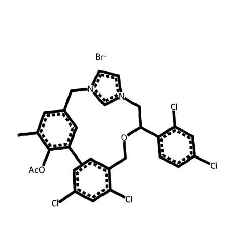 CC(=O)Oc1c(C)cc(C[n+]2ccn(CC(OCc3ccc(Cl)cc3Cl)c3ccc(Cl)cc3Cl)c2)cc1C.[Br-]